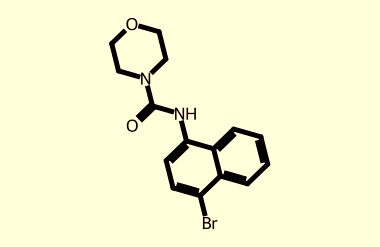 O=C(Nc1ccc(Br)c2ccccc12)N1CCOCC1